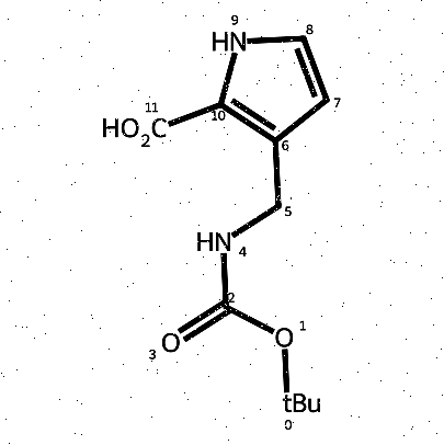 CC(C)(C)OC(=O)NCc1cc[nH]c1C(=O)O